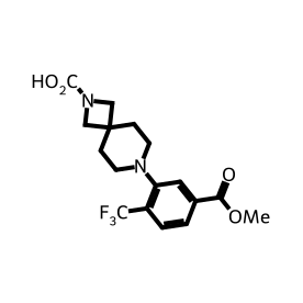 COC(=O)c1ccc(C(F)(F)F)c(N2CCC3(CC2)CN(C(=O)O)C3)c1